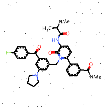 CNC(=O)c1cccc(-c2ccc(NC(=O)C(C)NC)c(=O)n2Cc2cc(C(=O)c3ccc(F)cc3)cc(N3CCCC3)c2)c1